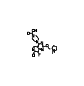 CN1CCC[C@H]1COc1nc(N2CCN(C(=O)O)CC2)c2cnc(Cl)c(F)c2n1